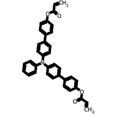 C=CC(=O)Oc1ccc(-c2ccc(N(c3ccccc3)c3ccc(-c4ccc(OC(=O)C=C)cc4)cc3)cc2)cc1